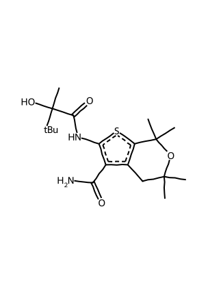 CC1(C)Cc2c(sc(NC(=O)C(C)(O)C(C)(C)C)c2C(N)=O)C(C)(C)O1